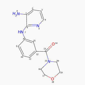 Nc1cccnc1Nc1cccc(C(=O)N2CCOCC2)c1